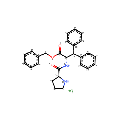 Cl.O=C(N[C@H](C(=O)OCc1ccccc1)C(c1ccccc1)c1ccccc1)[C@@H]1CCCN1